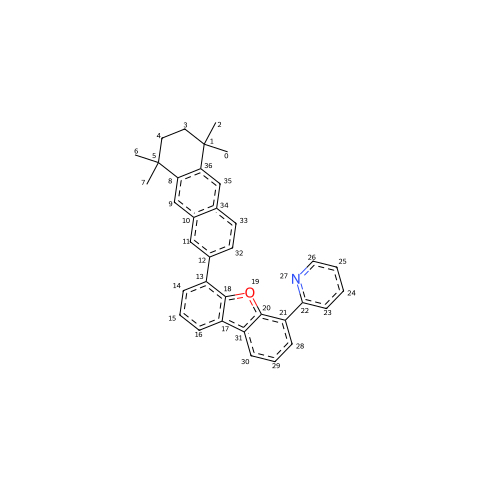 CC1(C)CCC(C)(C)c2cc3cc(-c4cccc5c4oc4c(-c6ccccn6)cccc45)ccc3cc21